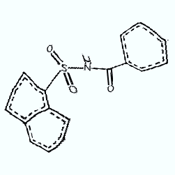 O=C(NS(=O)(=O)c1cccc2ccccc12)c1cc[c]cc1